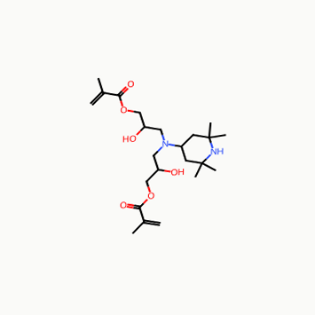 C=C(C)C(=O)OCC(O)CN(CC(O)COC(=O)C(=C)C)C1CC(C)(C)NC(C)(C)C1